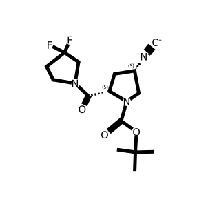 [C-]#[N+][C@H]1C[C@@H](C(=O)N2CCC(F)(F)C2)N(C(=O)OC(C)(C)C)C1